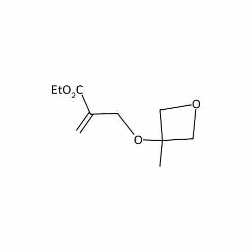 C=C(COC1(C)COC1)C(=O)OCC